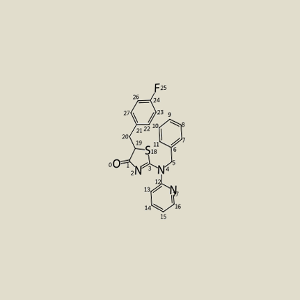 O=C1N=C(N(Cc2ccccc2)c2ccccn2)SC1Cc1ccc(F)cc1